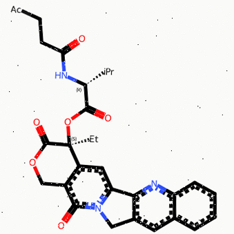 CC[C@@]1(OC(=O)[C@H](NC(=O)CCC(C)=O)C(C)C)C(=O)OCc2c1cc1n(c2=O)Cc2cc3ccccc3nc2-1